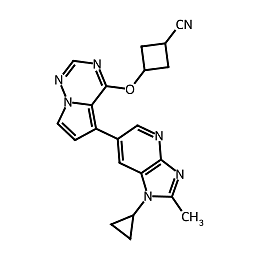 Cc1nc2ncc(-c3ccn4ncnc(OC5CC(C#N)C5)c34)cc2n1C1CC1